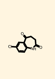 O=C1CCC(=O)c2cc(Cl)ccc2N1